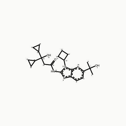 CC(C)(O)c1ccc2nc(NC(=O)CC(O)(C3CC3)C3CC3)n(C3CCC3)c2n1